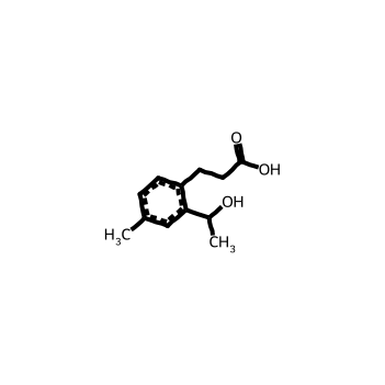 Cc1ccc(CCC(=O)O)c(C(C)O)c1